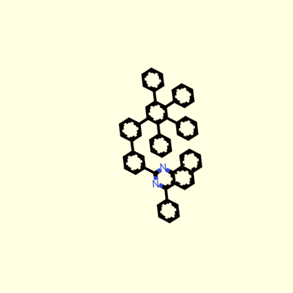 c1ccc(-c2cc(-c3cccc(-c4cccc(-c5nc(-c6ccccc6)c6ccc7ccccc7c6n5)c4)c3)c(-c3ccccc3)c(-c3ccccc3)c2-c2ccccc2)cc1